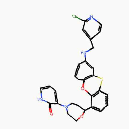 O=c1[nH]cccc1N1CCOC(c2cccc3c2Oc2ccc(NCc4ccnc(Cl)c4)cc2S3)C1